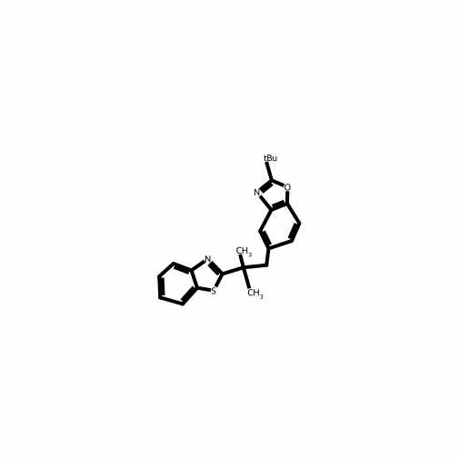 CC(C)(C)c1nc2cc(CC(C)(C)c3nc4ccccc4s3)ccc2o1